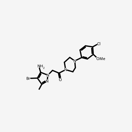 COc1cc(N2CCN(C(=O)Cn3nc(C)c(Br)c3N)CC2)ccc1Cl